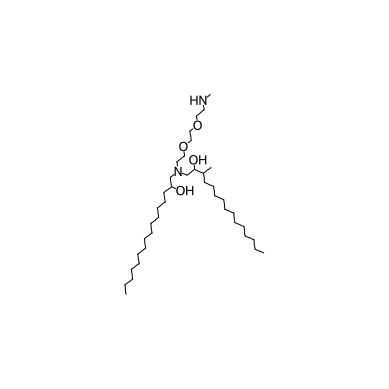 CCCCCCCCCCCCCCC(O)CN(CCOCCOCCNC)CC(O)C(C)CCCCCCCCCCCC